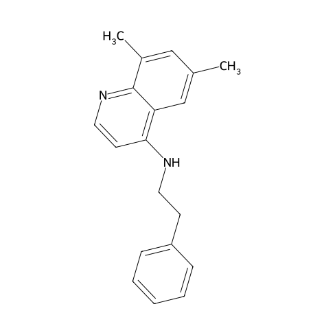 Cc1cc(C)c2nccc(NCCc3ccccc3)c2c1